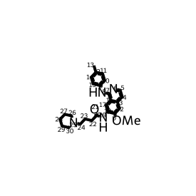 COc1cc2ccnc(Nc3ccc(C)cc3)c2cc1NC(=O)CCCN1CCCCC1